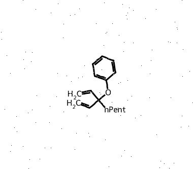 C=CC(C=C)(CCCCC)Oc1ccccc1